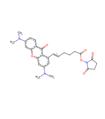 CN(C)c1ccc2c(=O)c3c(/C=C/CCCC(=O)ON4C(=O)CCC4=O)cc(N(C)C)cc3oc2c1